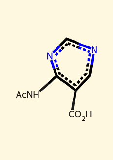 CC(=O)Nc1ncncc1C(=O)O